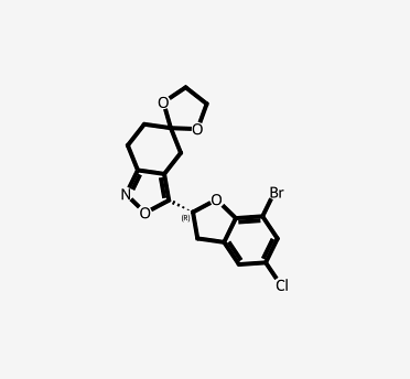 Clc1cc(Br)c2c(c1)C[C@H](c1onc3c1CC1(CC3)OCCO1)O2